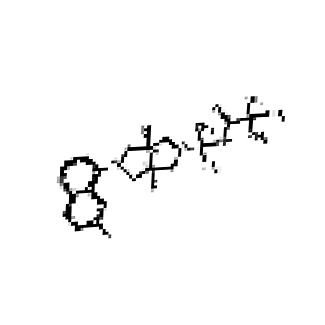 CC(C)(C)C(=O)NC(C)(C)[C@H]1C[C@H]2C[C@@H](c3ccnc4ccc(F)cc34)C[C@H]2C1